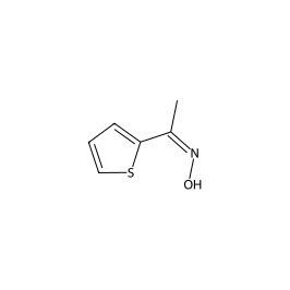 C/C(=N/O)c1cccs1